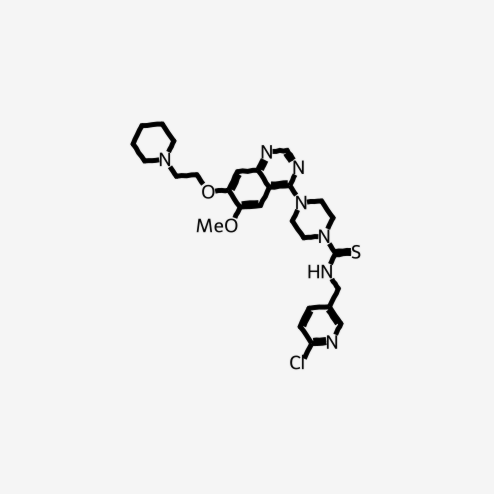 COc1cc2c(N3CCN(C(=S)NCc4ccc(Cl)nc4)CC3)ncnc2cc1OCCN1CCCCC1